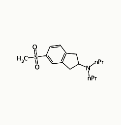 CCCN(CCC)C1Cc2ccc(S(C)(=O)=O)cc2C1